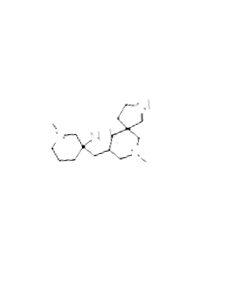 CN1CCCC(N)(CC2CN(C)CC3(CCNC3)C2)C1